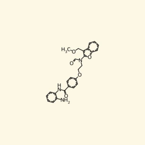 COCc1c(N(C=O)CCOc2ccc(C(=O)Nc3ccccc3N)cc2)oc2ccccc12